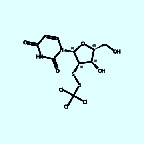 O=c1ccn([C@@H]2O[C@H](CO)[C@@H](O)[C@H]2SSC(Cl)(Cl)Cl)c(=O)[nH]1